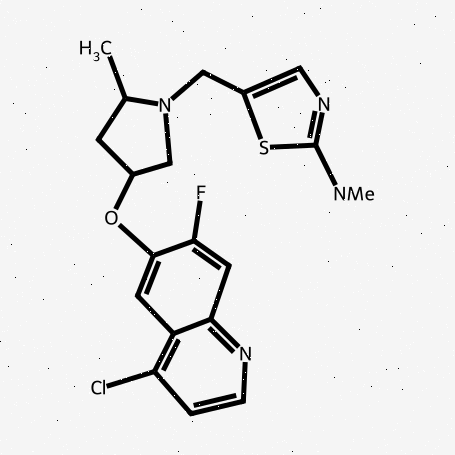 CNc1ncc(CN2CC(Oc3cc4c(Cl)ccnc4cc3F)CC2C)s1